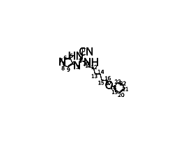 N#CN/C(=N\c1ccncc1)NCCCCCCOc1ccccc1